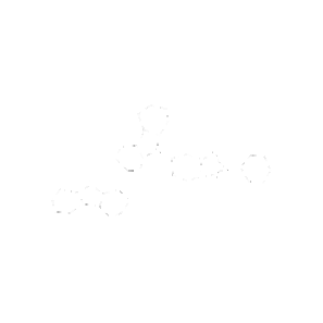 c1ccc(-n2nc3ccc(-n4c5ccccc5c5ccc(-c6cccc7c6sc6ccccc67)cc54)cc3n2)cc1